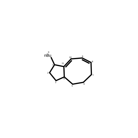 CCCCC1CCC2CCCC=CC=C12